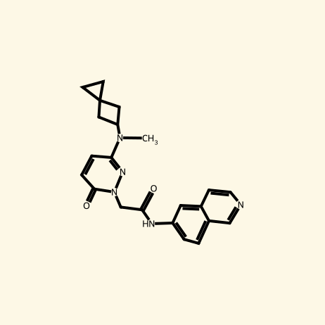 CN(c1ccc(=O)n(CC(=O)Nc2ccc3cnccc3c2)n1)C1CC2(CC2)C1